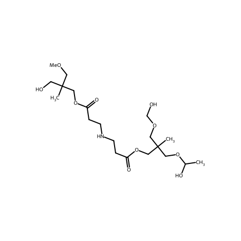 COCC(C)(CO)COC(=O)CCNCCC(=O)OCC(C)(COCO)COC(C)O